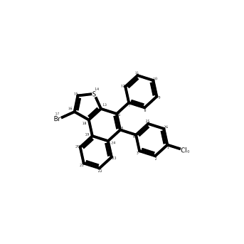 Clc1ccc(-c2c(-c3ccccc3)c3scc(Br)c3c3ccccc23)cc1